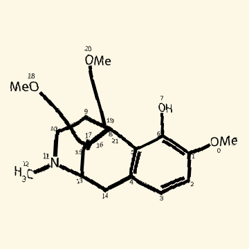 COc1ccc2c(c1O)C13CCN(C)C(C2)C1=CC(OC)C(OC)C3